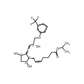 CC(C)OC(=O)CCC/C=C\C[C@@H]1C(=C=C[C@@H](O)COc2cccc(C(F)(F)F)c2)[C@H](O)C[C@@H]1O